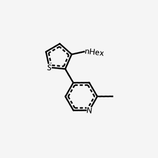 CCCCCCc1ccsc1-c1ccnc(C)c1